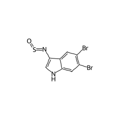 O=S=Nc1c[nH]c2cc(Br)c(Br)cc12